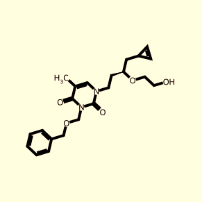 Cc1cn(CC[C@@H](CC2C=C2)OCCO)c(=O)n(COCc2ccccc2)c1=O